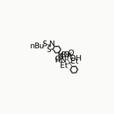 CCCCSc1nc2ccc(S(=O)(=O)NC(C(CC)(CC)c3ccccc3)P(=O)(O)O)cc2s1